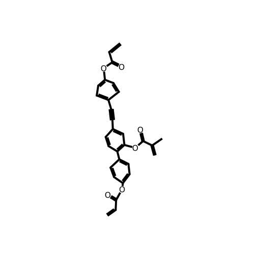 C=CC(=O)Oc1ccc(C#Cc2ccc(-c3ccc(OC(=O)C=C)cc3)c(OC(=O)C(=C)C)c2)cc1